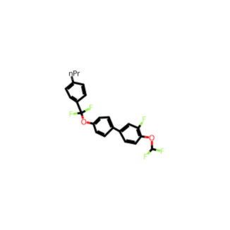 CCCc1ccc(C(F)(F)Oc2ccc(-c3ccc(OC(F)F)c(F)c3)cc2)cc1